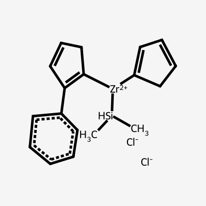 C[SiH](C)[Zr+2]([C]1=CC=CC1)[C]1=C(c2ccccc2)C=CC1.[Cl-].[Cl-]